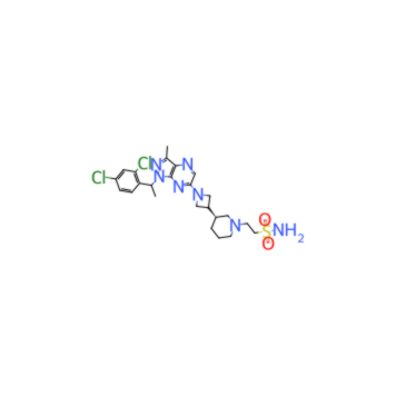 Cc1nn(C(C)c2ccc(Cl)cc2Cl)c2nc(N3CC([C@@H]4CCCN(CCS(N)(=O)=O)C4)C3)cnc12